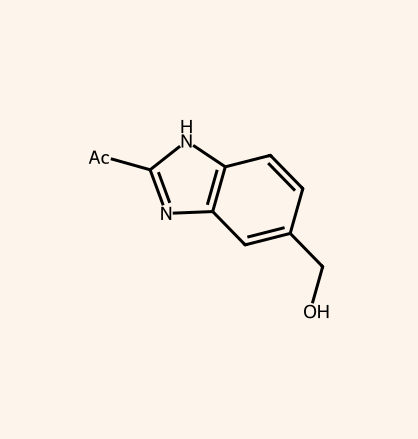 CC(=O)c1nc2cc(CO)ccc2[nH]1